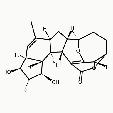 CC1=C[C@@H]2[C@H](O)[C@@H](C)[C@H](O)[C@H]2[C@@H]2[C@H]3C4=C5O[C@](C)(CCC(OC4=O)[C@@H]5C)[C@H]3C[C@H]12